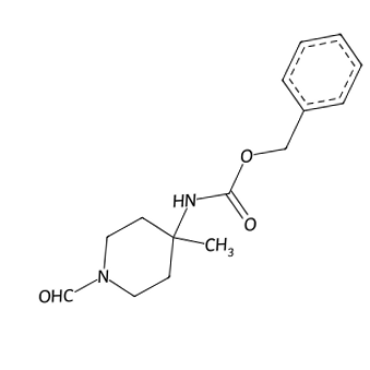 CC1(NC(=O)OCc2ccccc2)CCN(C=O)CC1